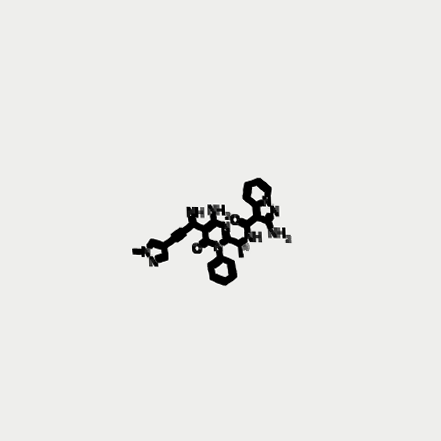 C[C@H](NC(=O)c1c(N)nn2ccccc12)c1nc(N)c(C(=N)C#Cc2cnn(C)c2)c(=O)n1-c1ccccc1